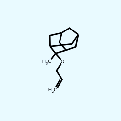 C=CCOC1(C)C2CC3CC(C2)CC1C3